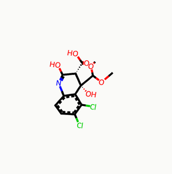 COC(OC)[C@@]1(O)c2c(ccc(Cl)c2Cl)N=C(O)[C@@H]1C(=O)O